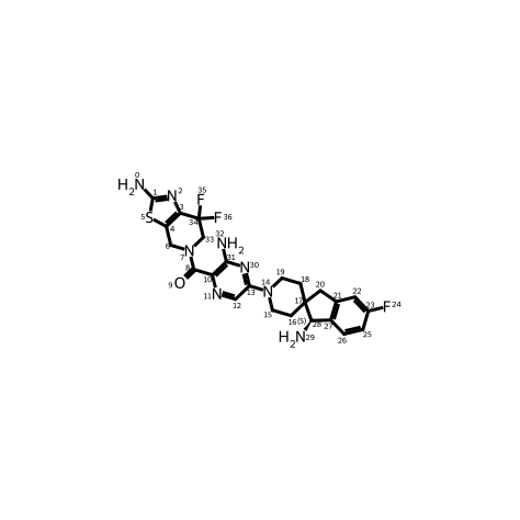 Nc1nc2c(s1)CN(C(=O)c1ncc(N3CCC4(CC3)Cc3cc(F)ccc3[C@H]4N)nc1N)CC2(F)F